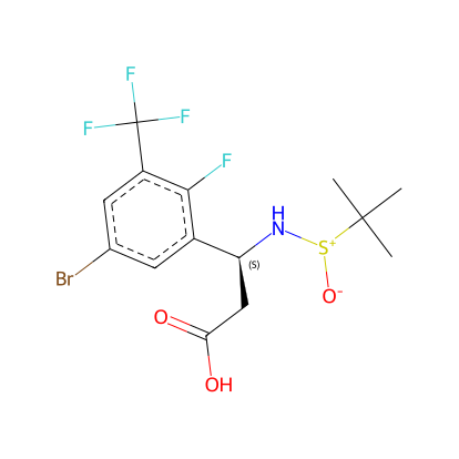 CC(C)(C)[S+]([O-])N[C@@H](CC(=O)O)c1cc(Br)cc(C(F)(F)F)c1F